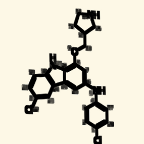 Clc1ccc(Nc2cc(OCC3CCNC3)c3[nH]c4ccc(Cl)cc4c3c2)cc1